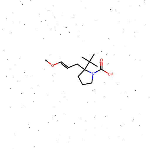 COC=CCC1(C(C)(C)C)CCCN1C(=O)O